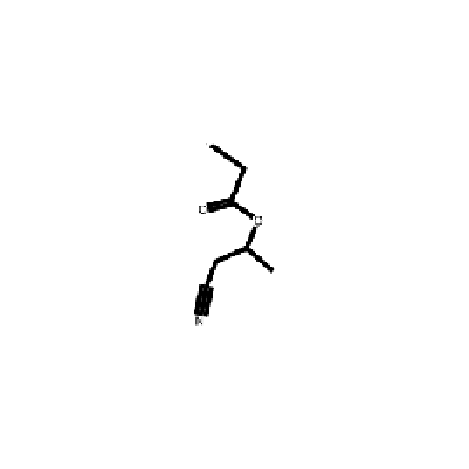 [CH]CC(=O)OC(C)CC#N